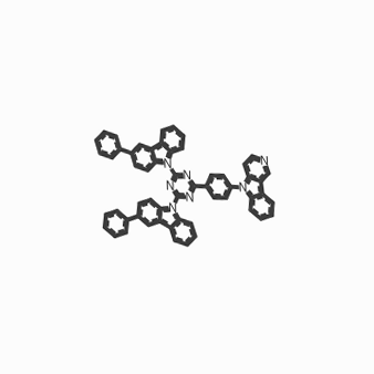 c1ccc(-c2ccc3c(c2)c2ccccc2n3-c2nc(-c3ccc(-n4c5ccccc5c5cnccc54)cc3)nc(-n3c4ccccc4c4cc(-c5ccccc5)ccc43)n2)cc1